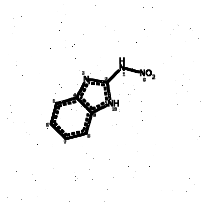 O=[N+]([O-])Nc1nc2ccccc2[nH]1